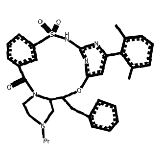 Cc1cccc(C)c1-c1cc2nc(n1)NS(=O)(=O)c1cccc(c1)C(=O)N1CCN(C(C)C)CC1C(Cc1ccccc1)O2